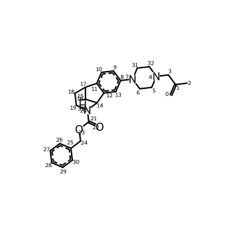 C=C(C)CN1CCN(c2ccc3c(c2)C2[C@@H](C)C3CCN2C(=O)OCc2ccccc2)CC1